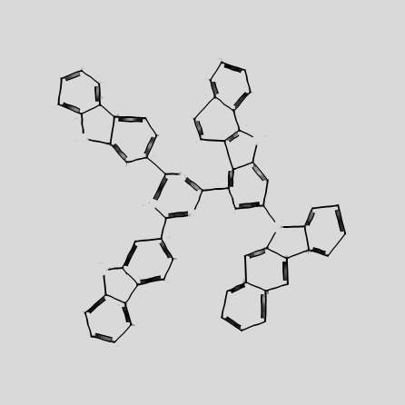 c1ccc2cc3c(cc2c1)c1ccccc1n3-c1cc(-c2nc(-c3ccc4c(c3)oc3ccccc34)nc(-c3ccc4c(c3)oc3ccccc34)n2)c2c(c1)oc1c3ccccc3ccc12